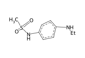 [CH2]CNc1ccc(NS(C)(=O)=O)cc1